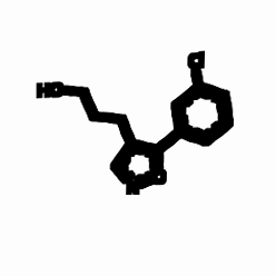 OCCCc1cnoc1-c1cccc(Cl)c1